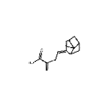 C=C(CC=C1CCC2CC1C2(C)C)C(=O)O